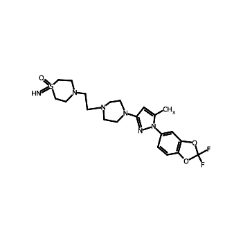 Cc1cc(N2CCN(CCN3CCS(=N)(=O)CC3)CC2)nn1-c1ccc2c(c1)OC(F)(F)O2